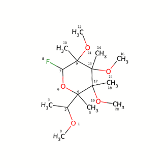 COC(C)C1(C)OC(F)C(C)(OC)C(C)(OC)C1(C)OC